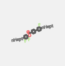 CCCCCCCc1ccc(-c2ccc(C(=O)Oc3ccc(CCCCCCC)c(F)c3F)cc2)cc1F